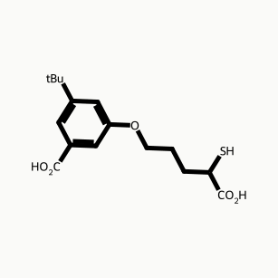 CC(C)(C)c1cc(OCCCC(S)C(=O)O)cc(C(=O)O)c1